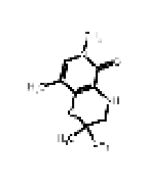 Cc1cn(C)c(=O)c2c1OC(C)(C)CN2